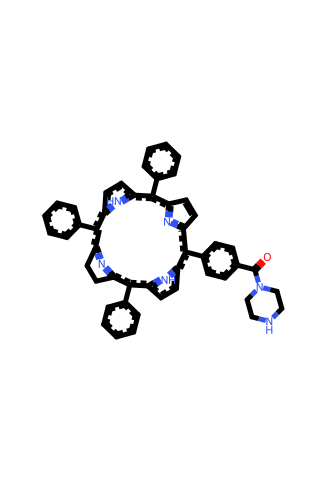 O=C(c1ccc(-c2c3nc(c(-c4ccccc4)c4ccc([nH]4)c(-c4ccccc4)c4nc(c(-c5ccccc5)c5ccc2[nH]5)CC4)C=C3)cc1)N1CCNCC1